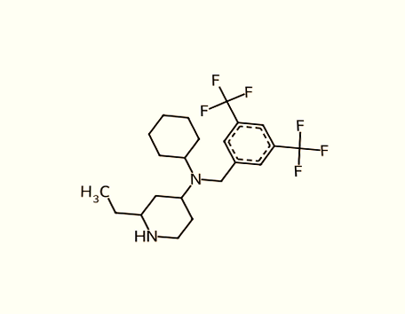 CCC1CC(N(Cc2cc(C(F)(F)F)cc(C(F)(F)F)c2)C2CCCCC2)CCN1